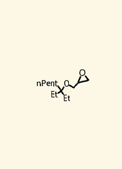 CCCCCC(CC)(CC)OCC1CO1